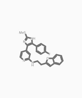 CSc1nc(-c2ccnc(NCCc3cc4ccccc4o3)c2)c(-c2ccc(F)cc2)[nH]1